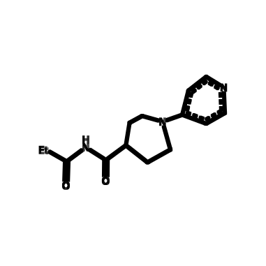 [CH2]CC(=O)NC(=O)C1CCN(c2ccncc2)CC1